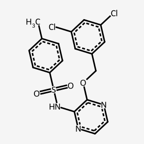 Cc1ccc(S(=O)(=O)Nc2nccnc2OCc2cc(Cl)cc(Cl)c2)cc1